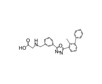 Cc1c(-c2ccccc2)cccc1-c1nnc(-c2cccc(CNCC(=O)O)c2)o1